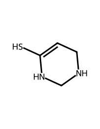 SC1=CCNCN1